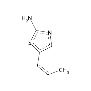 C/C=C\c1cnc(N)s1